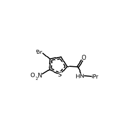 CC(C)NC(=O)c1cc(Br)c([N+](=O)[O-])s1